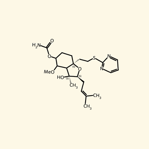 COC1C(OC(N)=O)CC[C@@]2(CCSc3ncccn3)O[C@@H](CC=C(C)C)[C@@](C)(O)C12